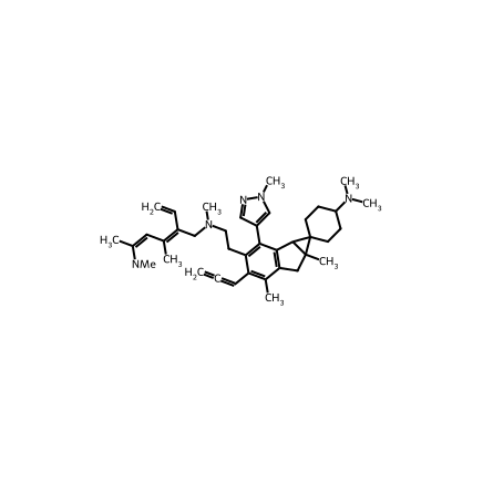 C=C=Cc1c(C)c2c(c(-c3cnn(C)c3)c1CCN(C)C/C(C=C)=C(C)/C=C(/C)NC)C1C(C)(C2)C12CCC(N(C)C)CC2